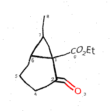 CCOC(=O)C12C(=O)CCC1C2C